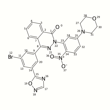 O=c1c2ccccc2c(-c2cc(Br)cc(-c3ncno3)c2)nn1-c1cc(N2CCOCC2)ccc1[N+](=O)[O-]